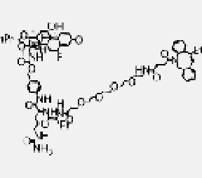 CCC[C@H]1O[C@@H]2CC3[C@@H]4C[C@H](F)C5=CC(=O)C=C[C@]5(C)[C@@]4(F)[C@@H](O)C[C@]3(C)[C@]2(C(=O)CNC(=O)OCc2ccc(NC(=O)[C@H](CCCNC(N)=O)NC(=O)[C@@H](NC(=O)CCOCCOCCOCCOCCNC(=O)CCC(=O)N3Cc4ccccc4/C=C(/CC)c4ccccc43)C(C)C)cc2)O1